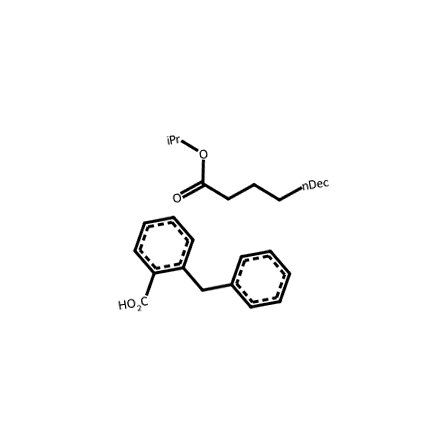 CCCCCCCCCCCCCC(=O)OC(C)C.O=C(O)c1ccccc1Cc1ccccc1